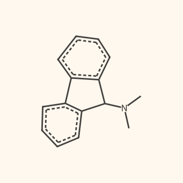 CN(C)C1c2ccccc2-c2ccccc21